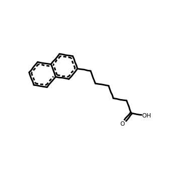 O=C(O)CCCCCc1ccc2ccccc2c1